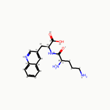 NCCC[C@@H](N)C(=O)N[C@@H](Cc1cnc2ccccc2c1)C(=O)O